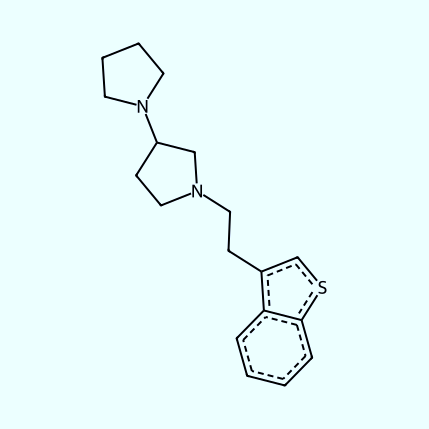 c1ccc2c(CCN3CCC(N4CCCC4)C3)csc2c1